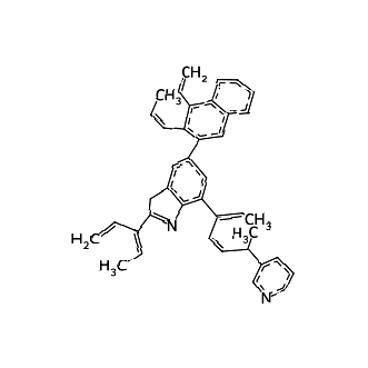 C=C/C(=C\C)C1=Nc2c(cc(-c3cc4ccccc4c(C=C)c3/C=C\C)cc2C(/C=C\C(C)c2cccnc2)=C/C)C1